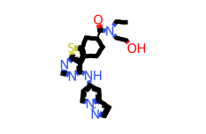 CCN(CCO)C(=O)[C@H]1CCc2c(sc3ncnc(Nc4ccn5nccc5c4)c23)C1